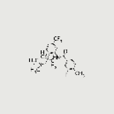 Cc1ccc(C(=O)Nc2cc(C(F)(F)F)ccc2C(C)(C)CN(C)C)cc1I